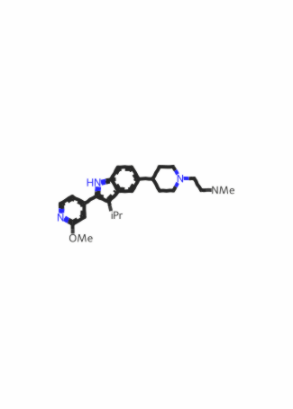 CNCCN1CCC(c2ccc3[nH]c(-c4ccnc(OC)c4)c(C(C)C)c3c2)CC1